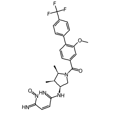 COc1cc(C(=O)N2C[C@@H](NC(=N)/C=C\C(=N)N=O)[C@@H](C)[C@H]2C)ccc1-c1ccc(C(F)(F)F)cc1